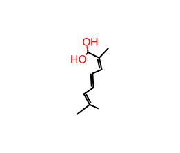 CC(C)=CC=CC=C(C)C(O)O